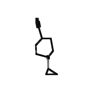 N#CC1CCN(C2CC2)CC1